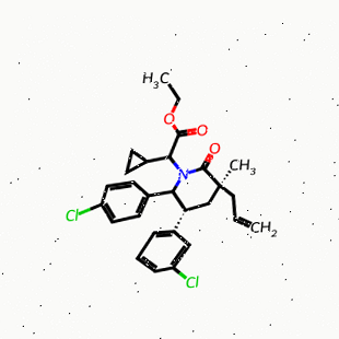 C=CC[C@@]1(C)C[C@H](c2cccc(Cl)c2)C(c2ccc(Cl)cc2)N(C(C(=O)OCC)C2CC2)C1=O